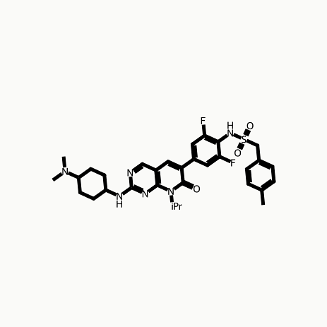 Cc1ccc(CS(=O)(=O)Nc2c(F)cc(-c3cc4cnc(NC5CCC(N(C)C)CC5)nc4n(C(C)C)c3=O)cc2F)cc1